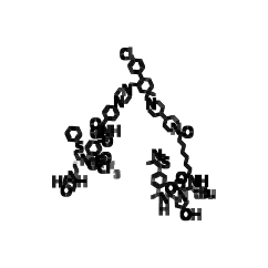 Cc1ncsc1-c1ccc([C@H](C)NC(=O)[C@@H]2C[C@@H](O)CN2C(=O)[C@@H](NC(=O)CCCCCCC(=O)N2CCC(C3CCN(CC4(C)CCC(c5ccc(Cl)cc5)=C(CN5CCN(c6ccc(C(=O)NS(=O)(=O)c7ccc(N[C@H](CCN8C[C@H]9C[C@@H]8CO9)CSc8ccccc8)c(S(=O)(=O)C(F)(F)F)c7)cc6)CC5)C4)CC3)CC2)C(C)(C)C)cc1